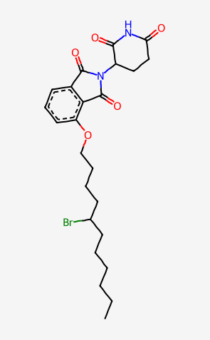 CCCCCCC(Br)CCCCOc1cccc2c1C(=O)N(C1CCC(=O)NC1=O)C2=O